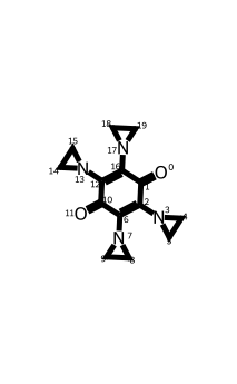 O=C1C(N2CC2)=C(N2CC2)C(=O)C(N2CC2)=C1N1CC1